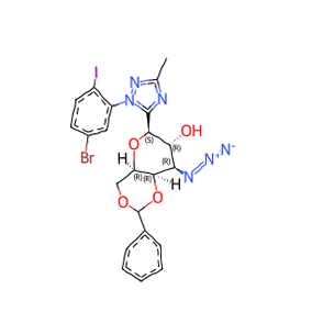 Cc1nc([C@@H]2O[C@@H]3COC(c4ccccc4)O[C@@H]3[C@H](N=[N+]=[N-])[C@H]2O)n(-c2cc(Br)ccc2I)n1